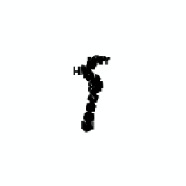 CC(C)Oc1ccc(-c2n[nH]c3ccc(N4CC[C@]5(CCN(CC(=O)N6CC=C(c7ccc(-c8ccc(-c9ncccn9)cc8)cc7)CC6)C5)C4=O)cc23)cn1